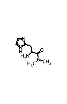 CN(C)C(=O)C(N)Cc1ncc[nH]1